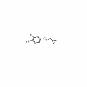 Fc1cc(OCCC2CC2)cnc1Cl